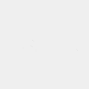 Cc1c(S(N)(=O)=O)ccc(-c2ccc3c(c2)c(=O)n(C)n3Cc2ccc(F)c(F)c2)c1Cl